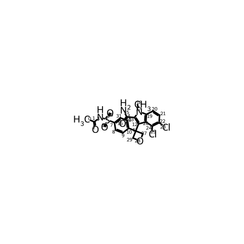 CC(=O)NS(=O)(=O)c1ccc(C2(c3c(C(N)=O)n(C)c4ccc(Cl)c(Cl)c34)COC2)cc1